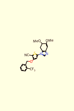 COC1=Cc2ncn(-c3cc(OCc4ccccc4C(F)(F)F)c(C#N)s3)c2CC1OC